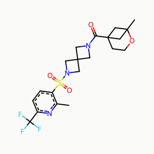 Cc1nc(C(F)(F)F)ccc1S(=O)(=O)N1CC2(CN(C(=O)C34CCOC(C)(C3)C4)C2)C1